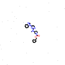 CN(c1nccc(-n2cnc3ccccc32)n1)C1CCN(C(=O)OCc2ccccc2)C1